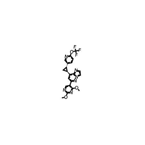 COc1ncc(-c2cc([C@H]3C[C@@H]3c3ccc(OC(F)(F)F)nc3)c3nccn3n2)c(OC)n1